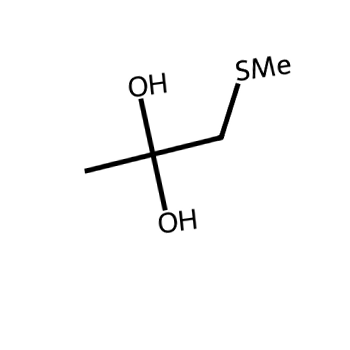 CSCC(C)(O)O